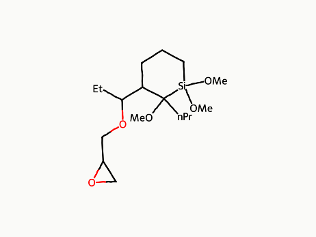 CCCC1(OC)C(C(CC)OCC2CO2)CCC[Si]1(OC)OC